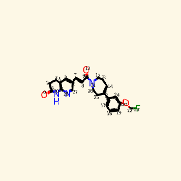 O=C1CCc2cc(/C=C/C(=O)N3CCC=C(c4cccc(OCF)c4)CC3)cnc2N1